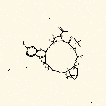 COc1ccc2nc3c(nc2c1)O[C@H]1CN(C(=O)[C@H](C(C)(C)C)NC(=O)O[C@@H]2CC4C[C@@H]4[C@H]2CCCC(F)(F)C3(F)F)[C@H](C(C)=O)[C@@H]1C